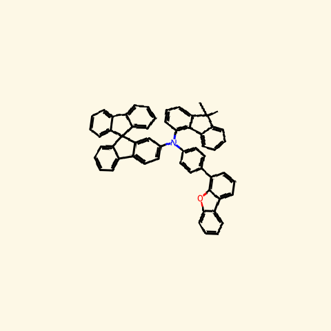 CC1(C)c2ccccc2-c2c(N(c3ccc(-c4cccc5c4oc4ccccc45)cc3)c3ccc4c(c3)C3(c5ccccc5-c5ccccc53)c3ccccc3-4)cccc21